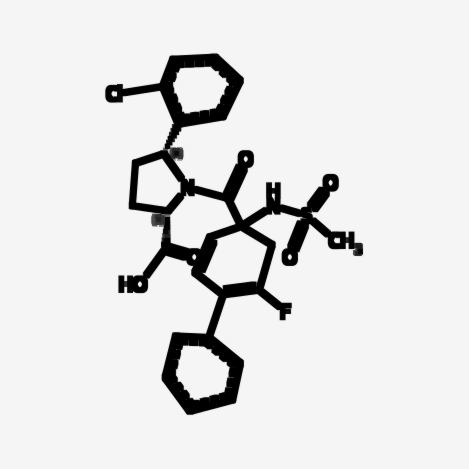 CS(=O)(=O)NC1(C(=O)N2[C@@H](c3ccccc3Cl)CC[C@H]2C(=O)O)C=CC(c2ccccc2)=C(F)C1